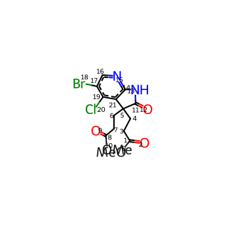 COC(=O)CCC1(CCC(=O)OC)C(=O)Nc2ncc(Br)c(Cl)c21